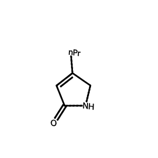 CCCC1=CC(=O)NC1